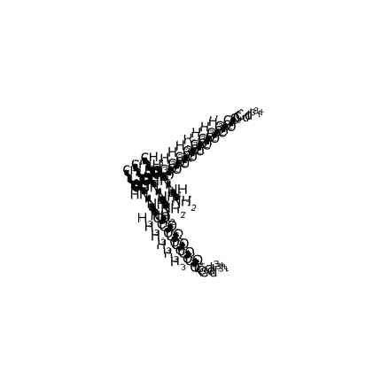 CC(=O)[O-].CC(=O)[O-].CC(=O)[O-].CC(=O)[O-].CC(=O)[O-].CC(=O)[O-].CC(=O)[O-].CC(=O)[O-].CC(=O)[O-].CC(=O)[O-].CC(=O)[O-].CC(=O)[O-].CC(=O)[O-].CC(=O)[O-].CC(=O)[O-].CCCCc1ccc(CNCCNCCN)cc1.CCCCc1ccc(CNCCNCCN)cc1.CCCCc1ccc(CNCCNCCN)cc1.[Gd+3].[Gd+3].[Gd+3].[Gd+3].[Gd+3]